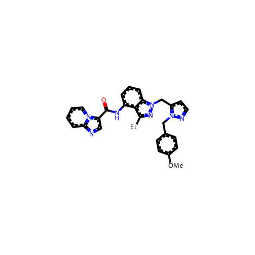 CCc1nn(Cc2ccnn2Cc2ccc(OC)cc2)c2cccc(NC(=O)c3cnc4ccccn34)c12